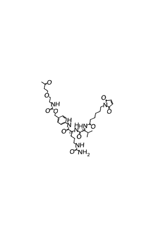 CC(=O)CCOCCNC(=O)OCc1ccc(NC(=O)[C@H](CCCNC(N)=O)NC(=O)[C@@H](NC(=O)CCCCCN2C(=O)C=CC2=O)C(C)C)cc1